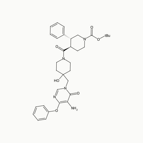 CC(C)(C)OC(=O)N1CC[C@@H](C(=O)N2CCC(O)(Cn3cnc(Oc4ccccc4)c(N)c3=O)CC2)[C@H](c2ccccc2)C1